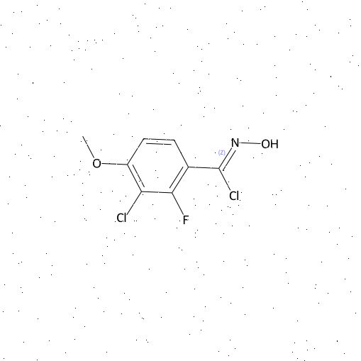 COc1ccc(/C(Cl)=N/O)c(F)c1Cl